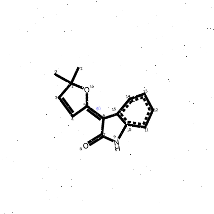 CC1(C)C=C/C(=C2\C(=O)Nc3ccccc32)O1